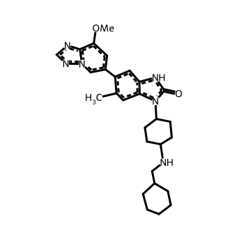 COc1cc(-c2cc3[nH]c(=O)n(C4CCC(NCC5CCCCC5)CC4)c3cc2C)cn2ncnc12